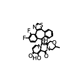 CC1CN2C(=O)c3c(O)c(=O)ccn3N([C@@H]3c4ccccc4-c4scnc4-c4c3ccc(F)c4F)[C@@H]2CO1